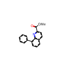 COC(=O)c1ccc2cccc(-c3ccccc3)c2n1